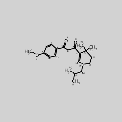 COc1ccc(C(=O)CC(=O)C2=CN(CC(C)C)CCC2(C)C)cc1